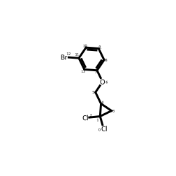 ClC1(Cl)CC1COc1c[c]cc(Br)c1